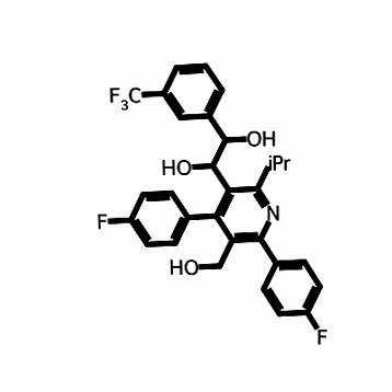 CC(C)c1nc(-c2ccc(F)cc2)c(CO)c(-c2ccc(F)cc2)c1C(O)C(O)c1cccc(C(F)(F)F)c1